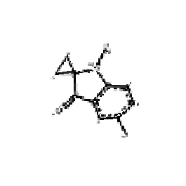 Cc1ccc2c(c1)C(=O)C1(CC1)N2C(C)C